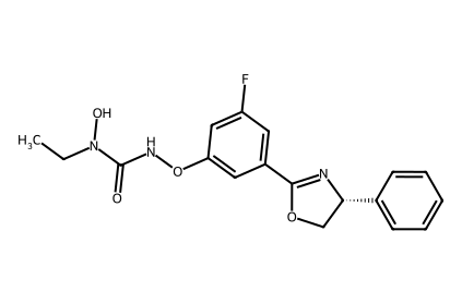 CCN(O)C(=O)NOc1cc(F)cc(C2=N[C@H](c3ccccc3)CO2)c1